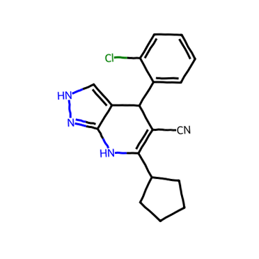 N#CC1=C(C2CCCC2)Nc2n[nH]cc2C1c1ccccc1Cl